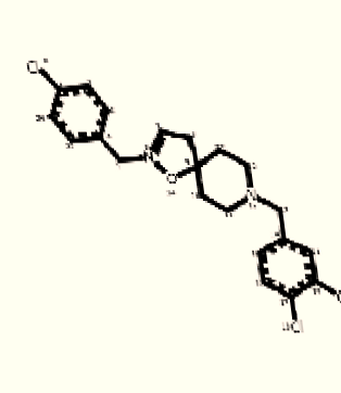 Clc1ccc(C[N+]2=CCC3(CCN(Cc4ccc(Cl)c(Cl)c4)CC3)O2)cc1